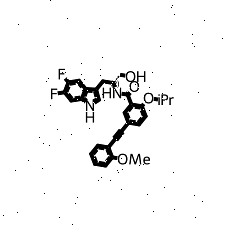 COc1ccccc1C#Cc1ccc(OC(C)C)c(C(=O)N[C@@H](CO)Cc2c[nH]c3cc(F)c(F)cc23)c1